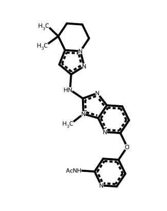 CC(=O)Nc1cc(Oc2ccc3nc(Nc4cc5n(n4)CCCC5(C)C)n(C)c3n2)ccn1